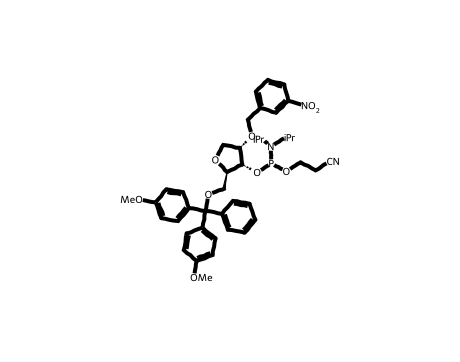 COc1ccc(C(OC[C@H]2OC[C@H](OCc3cccc([N+](=O)[O-])c3)[C@@H]2OP(OCCC#N)N(C(C)C)C(C)C)(c2ccccc2)c2ccc(OC)cc2)cc1